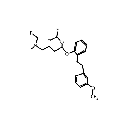 CN(CF)CCCC(Oc1ccccc1CCc1cccc(OC(F)(F)F)c1)OC(F)F